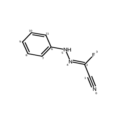 N#CC(F)=NNc1ccccc1